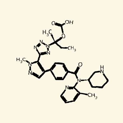 CC[C@@](C)(OC(=O)O)n1nnc(-c2c(-c3ccc(C(=O)N(c4ncccc4C)[C@@H]4CCCNC4)cc3)cnn2C)n1